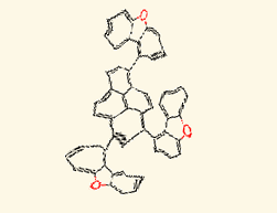 c1ccc2c(c1)oc1cccc(-c3ccc4ccc5c(-c6cccc7oc8ccccc8c67)cc(-c6cccc7oc8ccccc8c67)c6ccc3c4c56)c12